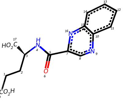 O=C(O)CC[C@H](NC(=O)c1cnc2ccccc2n1)C(=O)O